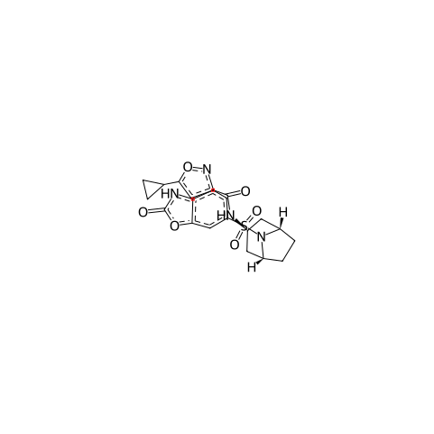 O=C(N[C@@H]1C[C@H]2CC[C@@H](C1)N2S(=O)(=O)c1ccc2[nH]c(=O)oc2c1)c1cc(C2CC2)on1